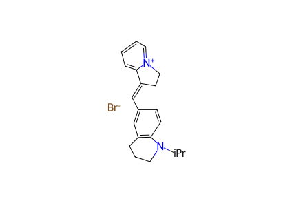 CC(C)N1CCCc2cc(C=C3CC[n+]4ccccc43)ccc21.[Br-]